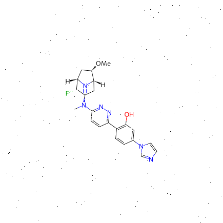 CO[C@@H]1C[C@@H]2N[C@H]1C[C@@H](N(C)c1ccc(-c3ccc(-n4ccnc4)cc3O)nn1)[C@@H]2F